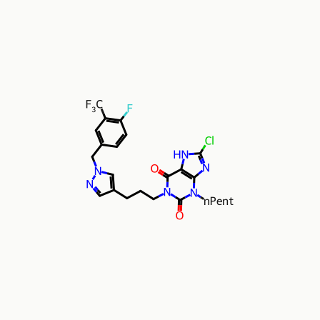 CCCCCn1c(=O)n(CCCc2cnn(Cc3ccc(F)c(C(F)(F)F)c3)c2)c(=O)c2[nH]c(Cl)nc21